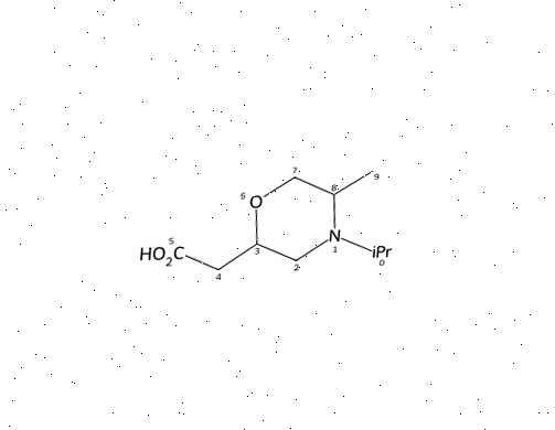 CC(C)N1CC(CC(=O)O)OCC1C